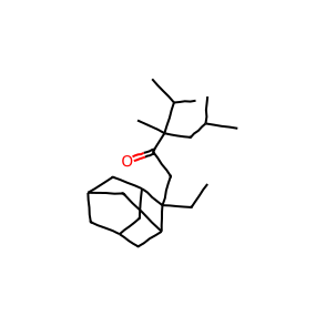 CCC1(CC(=O)C(C)(CC(C)C)C(C)C)C2CC3CC(C2)CC1C3